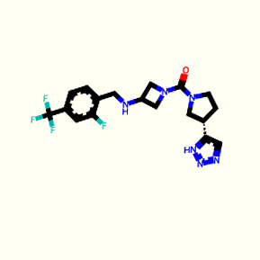 O=C(N1CC(NCc2ccc(C(F)(F)F)cc2F)C1)N1CC[C@H](c2cnn[nH]2)C1